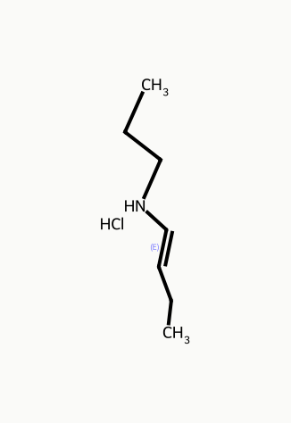 CC/C=C/NCCC.Cl